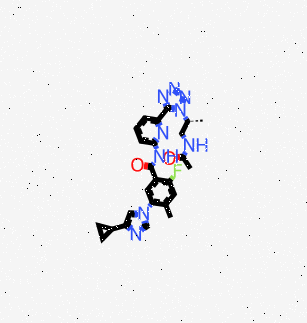 CC(=O)NC[C@@H](C)n1nnnc1-c1cccc(NC(=O)c2cc(-n3cnc(C4CC4)c3)c(C)cc2F)n1